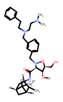 CCO[C@@H]1[C@H](CO)ON(Cc2cccc(CN(CCc3ccccc3)CCN(C)C)c2)[C@@H]1C(=O)N[C@H]1C[C@H]2C[C@@H]([C@@H]1C)C2(C)C